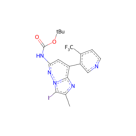 Cc1nc2c(-c3cnccc3C(F)(F)F)cc(NC(=O)OC(C)(C)C)nn2c1I